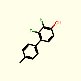 Cc1ccc(-c2ccc(O)c(F)c2F)cc1